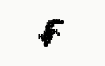 CSc1ccc(O[C@H]2C[C@H]3[C@@H]4CC[C@H]5CC(=O)CC[C@]5(C)[C@H]4CC[C@]3(C)C2)cc1